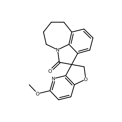 COc1ccc2c(n1)C1(CO2)C(=O)N2CCCCc3cccc1c32